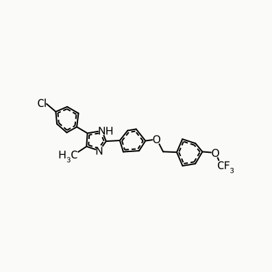 Cc1nc(-c2ccc(OCc3ccc(OC(F)(F)F)cc3)cc2)[nH]c1-c1ccc(Cl)cc1